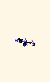 Cc1c(Nc2ccnc3sc(CCC(=O)N4CCCC4)cc23)ccc2[nH]ccc12